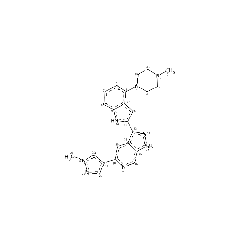 CN1CCN(c2cccc3[nH]c(-c4n[nH]c5cnc(-c6cnn(C)c6)cc45)cc23)CC1